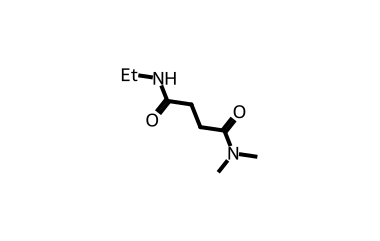 CCNC(=O)CCC(=O)N(C)C